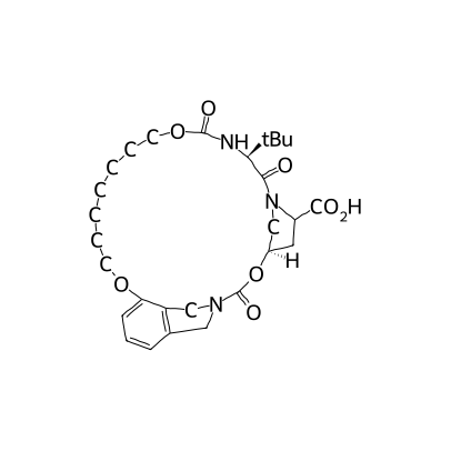 CC(C)(C)[C@@H]1NC(=O)OCCCCCCCOc2cccc3c2CN(C3)C(=O)O[C@@H]2CC(C(=O)O)N(C2)C1=O